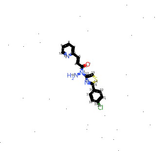 NN(C(=O)C=Cc1ccccn1)c1csc(-c2ccc(Cl)cc2)n1